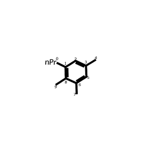 C[CH]Cc1cc(C)cc(C)c1C